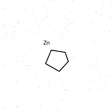 C1CCCC1.[Zn]